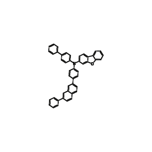 c1ccc(-c2ccc(N(c3ccc(-c4ccc5ccc(-c6ccccc6)cc5c4)cc3)c3ccc4c(c3)oc3ccccc34)cc2)cc1